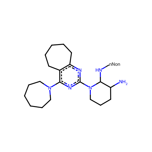 CCCCCCCCCNC1C(N)CCCN1c1nc2c(c(N3CCCCCC3)n1)CCCCC2